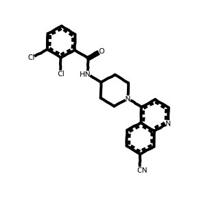 N#Cc1ccc2c(N3CCC(NC(=O)c4cccc(Cl)c4Cl)CC3)ccnc2c1